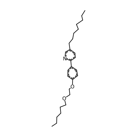 CCCCCCCCc1ccc(-c2ccc(OCCOCCCCCC)cc2)nc1